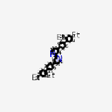 CCc1ccc(-c2ccc(-c3ccnc(-c4cc(-c5ccc(-c6ccc(CC)cc6CC)cc5)ccn4)c3)cc2)c(CC)c1